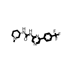 CN1CCC[C@H](NC(=O)Nc2cncc(-c3ccc(C(F)(F)F)cc3)n2)C1